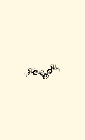 CCN(CC(=O)N1CCC(N(C)C)CC1)CC(=O)N1CCC(N(C)C)CC1